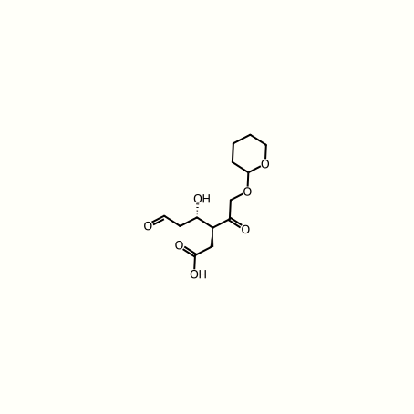 O=CC[C@H](O)[C@H](CC(=O)O)C(=O)COC1CCCCO1